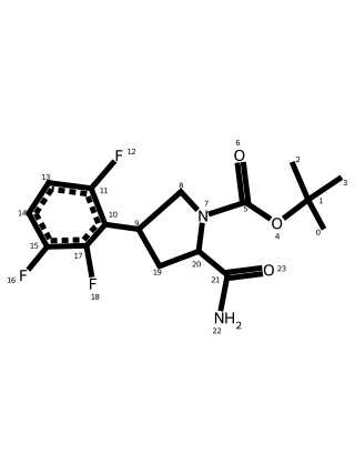 CC(C)(C)OC(=O)N1CC(c2c(F)ccc(F)c2F)CC1C(N)=O